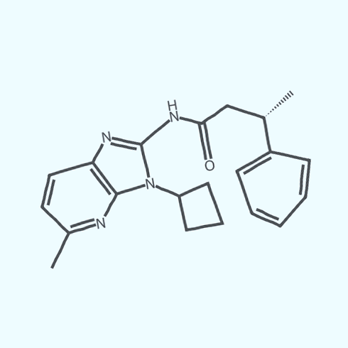 Cc1ccc2nc(NC(=O)C[C@H](C)c3ccccc3)n(C3CCC3)c2n1